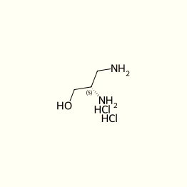 Cl.Cl.NC[C@H](N)CO